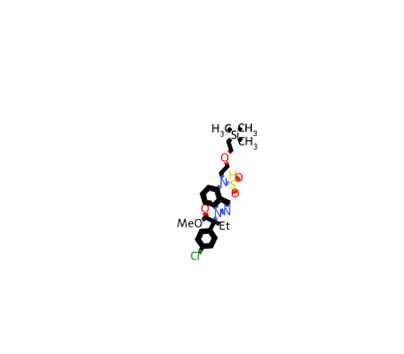 CCC(C(=O)OC)(c1ccc(Cl)cc1)n1ncc2c(N(CCOCC[Si](C)(C)C)[SH](=O)=O)cccc21